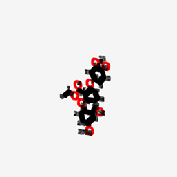 CCOC(=O)c1c(Oc2ccc3c(c2)OCO3)cccc1Oc1ccc(OC)cc1C=O